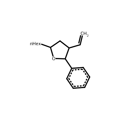 C=CC1CC(CCCCCC)OC1c1ccccc1